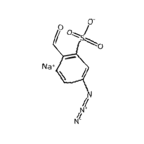 [N-]=[N+]=Nc1ccc(C=O)c(S(=O)(=O)[O-])c1.[Na+]